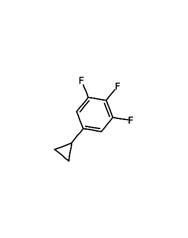 Fc1cc(C2CC2)cc(F)c1F